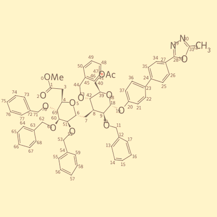 COC(=O)C[C@H]1O[C@H](C[C@@H]2[C@H](OCc3ccccc3)[C@@H](Oc3ccc(-c4ccc(-c5nnc(C)o5)cc4)cc3)O[C@H](COC(C)=O)[C@H]2OCc2ccccc2)[C@@H](OCc2ccccc2)[C@@H](OCc2ccccc2)[C@@H]1OCc1ccccc1